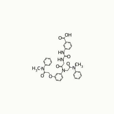 CN(C(=O)COc1cccc(N(CC(=O)N(C)c2ccccc2)C(=O)CNC(=O)Nc2cccc(C(=O)O)c2)c1)c1ccccc1